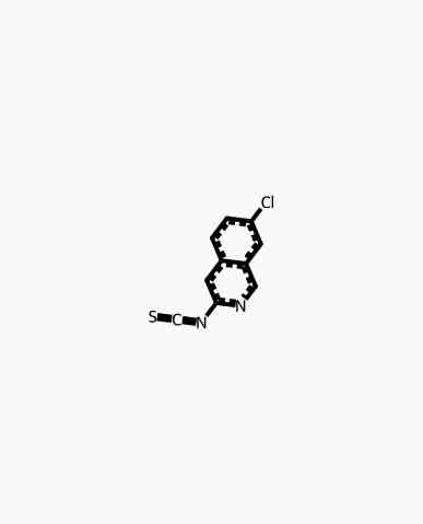 S=C=Nc1cc2ccc(Cl)cc2cn1